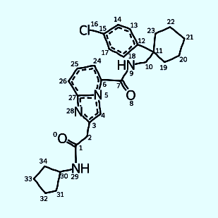 O=C(Cc1cn2c(C(=O)NCC3(c4ccc(Cl)cc4)CCCCC3)cccc2n1)NC1CCCC1